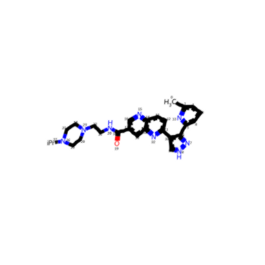 Cc1cccc(-c2n[nH]cc2-c2ccc3ncc(C(=O)NCCN4CCN(C(C)C)CC4)cc3n2)n1